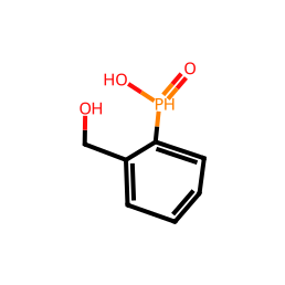 O=[PH](O)c1ccccc1CO